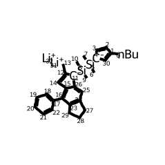 CCCCc1cc[c-]([Si](C)(C)[Si](C)(C)[c-]2c(C)cc3c(-c4ccccc4)c4c(cc32)CCC4)c1.[Li+].[Li+]